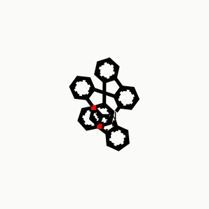 c1ccc2c(c1)-c1ccccc1C21c2ccccc2-c2cccc(-n3c4ccccc4c4ccccc43)c21